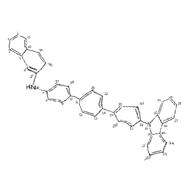 c1ccc2cc(Nc3ccc(-c4ccc(-c5ccc(-n6c7ccccc7c7ccccc76)cc5)cc4)cc3)ccc2c1